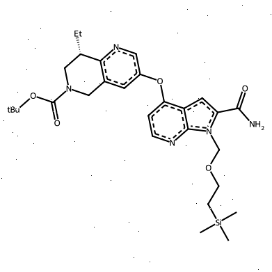 CC[C@H]1CN(C(=O)OC(C)(C)C)Cc2cc(Oc3ccnc4c3cc(C(N)=O)n4COCC[Si](C)(C)C)cnc21